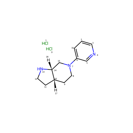 Cl.Cl.c1cncc(N2CC[C@@H]3CCN[C@@H]3C2)c1